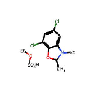 CCN1c2cc(Cl)cc(Cl)c2OC1C.CCOS(=O)(=O)O